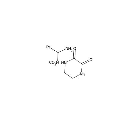 CC(C)C(N)C(=O)O.O=C1NCCNC1=O